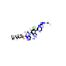 CNc1cn2cc(-c3c(Cl)c(F)c(N(C)c4ccnn4COCC[Si](C)(C)C)c4[nH]ncc34)ncc2n1